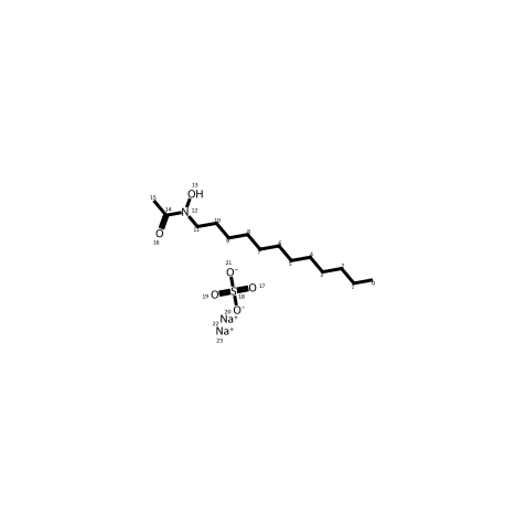 CCCCCCCCCCCCN(O)C(C)=O.O=S(=O)([O-])[O-].[Na+].[Na+]